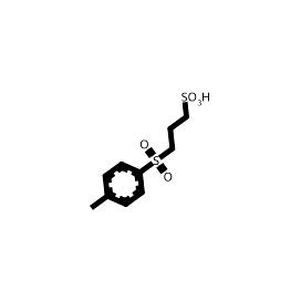 Cc1ccc(S(=O)(=O)CCCS(=O)(=O)O)cc1